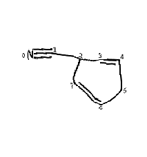 N#CC1C=CCC=C1